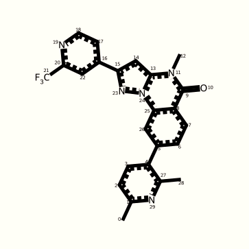 Cc1ccc(-c2ccc3c(=O)n(C)c4cc(-c5ccnc(C(F)(F)F)c5)nn4c3c2)c(C)n1